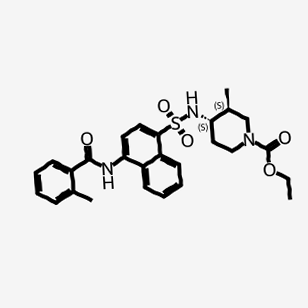 CCOC(=O)N1CC[C@H](NS(=O)(=O)c2ccc(NC(=O)c3ccccc3C)c3ccccc23)[C@@H](C)C1